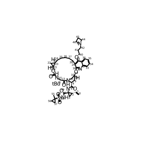 C=C[C@@H]1C[C@]1(NC(=O)[C@@H]1C[C@@H]2CN1C(=O)[C@H](C(C)(C)C)NC(=O)O[C@@H]1C[C@H]1CCCCCc1c(nc3ccccc3c1OCCCN1CCC1)O2)C(=O)NS(=O)(=O)C1(C)CC1